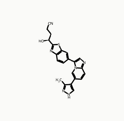 Cc1n[nH]cc1-c1ccc2ncc(-c3ccc4nc([C@@H](O)CCC#N)sc4c3)n2c1